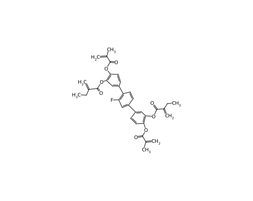 C=C(C)C(=O)Oc1ccc(-c2ccc(-c3ccc(OC(=O)C(=C)C)c(OC(=O)C(=C)CC)c3)c(F)c2)cc1OC(=O)C(=C)CC